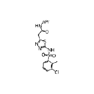 CCCNC(=O)Cc1nnc(NS(=O)(=O)c2cccc(Cl)c2C)s1